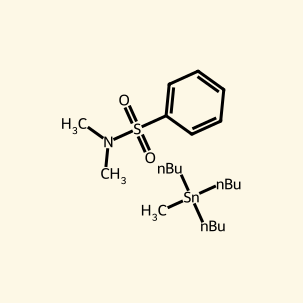 CCC[CH2][Sn]([CH3])([CH2]CCC)[CH2]CCC.CN(C)S(=O)(=O)c1ccccc1